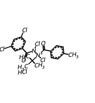 Cc1ccc(C(=O)[N+](Cl)(N(Cl)C(=O)c2cc(Cl)cc(Cl)c2)C(C)(C)C)cc1.Cl